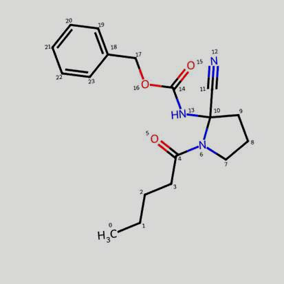 CCCCC(=O)N1CCCC1(C#N)NC(=O)OCc1ccccc1